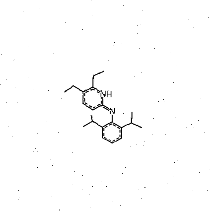 CCc1ccc(=Nc2c(C(C)C)cccc2C(C)C)[nH]c1CC